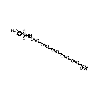 CC(C)(C)OC(=O)CCOCCOCCOCCOCCOCCOCCOCCOCCOCCOCCNC(=S)Nc1cccc(N)c1